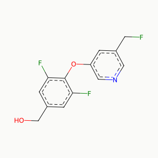 OCc1cc(F)c(Oc2cncc(CF)c2)c(F)c1